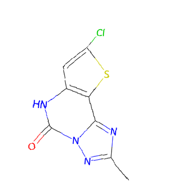 Cc1nc2c3sc(Cl)cc3[nH]c(=O)n2n1